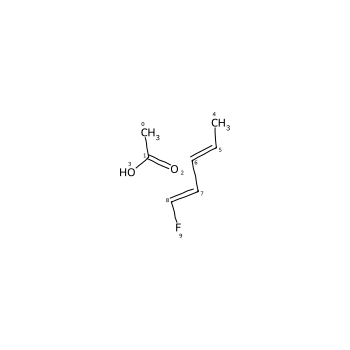 CC(=O)O.CC=CC=CF